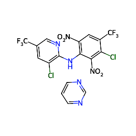 O=[N+]([O-])c1cc(C(F)(F)F)c(Cl)c([N+](=O)[O-])c1Nc1ncc(C(F)(F)F)cc1Cl.c1cncnc1